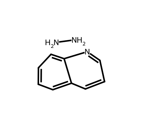 NN.c1ccc2ncccc2c1